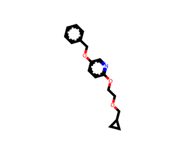 c1ccc(COc2ccc(OCCOCC3CC3)nc2)cc1